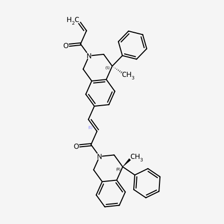 C=CC(=O)N1Cc2cc(/C=C/C(=O)N3Cc4ccccc4[C@@](C)(c4ccccc4)C3)ccc2[C@](C)(c2ccccc2)C1